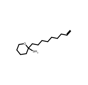 C=CCCCCCCCC1([SiH3])CCCCO1